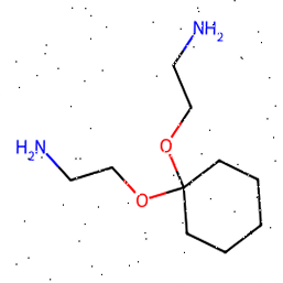 NCCOC1(OCCN)CCCCC1